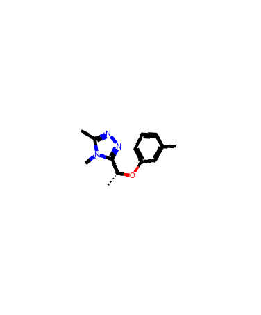 Cc1cccc(O[C@H](C)c2nnc(C)n2C)c1